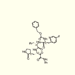 CC(C)C[C@H](NC(=O)[C@H](Cc1ccc(F)cn1)NC(=O)OCc1ccccc1)C(=O)N[C@@H](C[C@@H]1CCNC1=O)C(=O)C(=O)NC(C)C